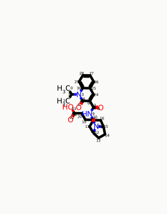 CC(C)n1c(=O)c(C(=O)NC2CC3CCC(C2)N3CCCC(=O)O)cc2ccccc21